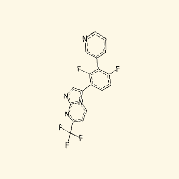 Fc1ccc(-c2cnc3nc(C(F)(F)F)ccn23)c(F)c1-c1cccnc1